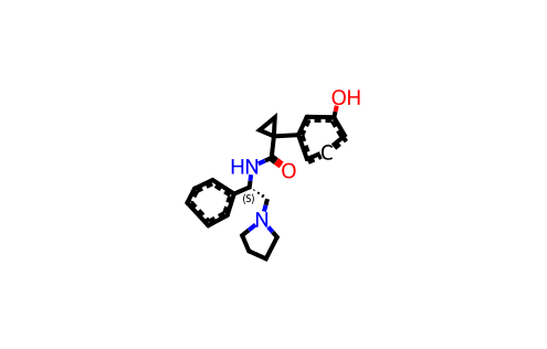 O=C(N[C@H](CN1CCCC1)c1ccccc1)C1(c2cccc(O)c2)CC1